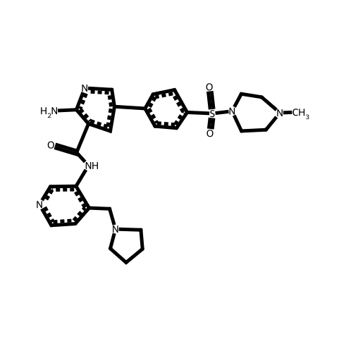 CN1CCN(S(=O)(=O)c2ccc(-c3cnc(N)c(C(=O)Nc4cnccc4CN4CCCC4)c3)cc2)CC1